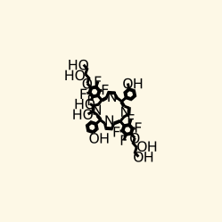 OCC(O)COc1c(F)c(F)c(C2=C3C=CC(=N3)C(c3cccc(O)c3)=C3N=C(C(O)=C3O)C(c3c(F)c(F)c(OCC(O)CO)c(F)c3F)=C3C=CC(=N3)C(c3cccc(O)c3)=C3C=CC2=N3)c(F)c1F